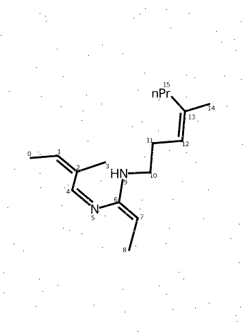 C\C=C(C)/C=N\C(=C/C)NCC/C=C(/C)CCC